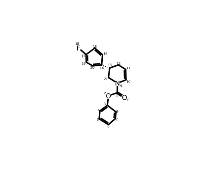 O=C(Oc1ccccc1)N1C=CC[C@@H](c2ccc(F)cc2)C1